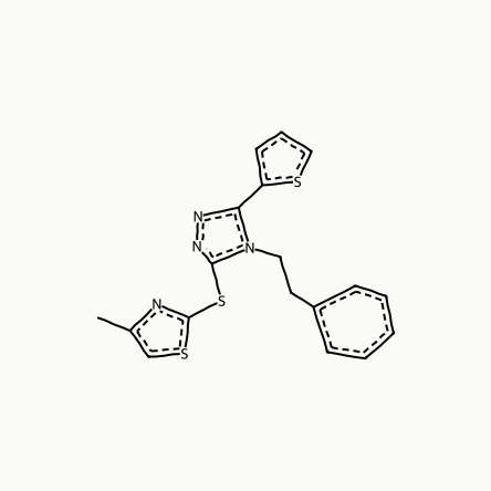 Cc1csc(Sc2nnc(-c3cccs3)n2CCc2ccccc2)n1